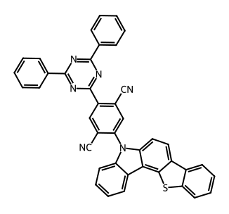 N#Cc1cc(-n2c3ccccc3c3c4sc5ccccc5c4ccc32)c(C#N)cc1-c1nc(-c2ccccc2)nc(-c2ccccc2)n1